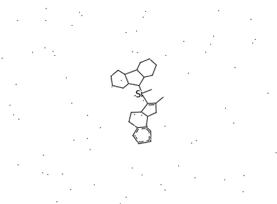 CC1=C([Si](C)(C)C2C3CCCCC3C3CCCCC32)C2CCc3ccccc3C2C1